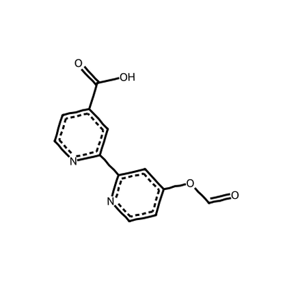 O=COc1ccnc(-c2cc(C(=O)O)ccn2)c1